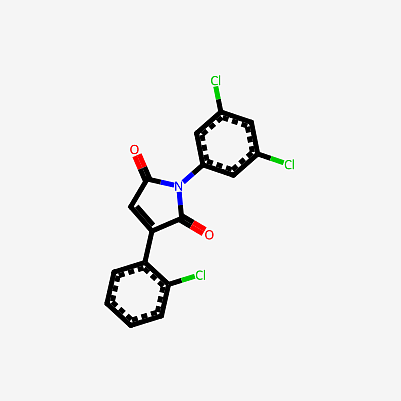 O=C1C=C(c2ccccc2Cl)C(=O)N1c1cc(Cl)cc(Cl)c1